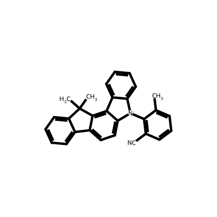 Cc1cccc(C#N)c1-n1c2ccccc2c2c3c(ccc21)-c1ccccc1C3(C)C